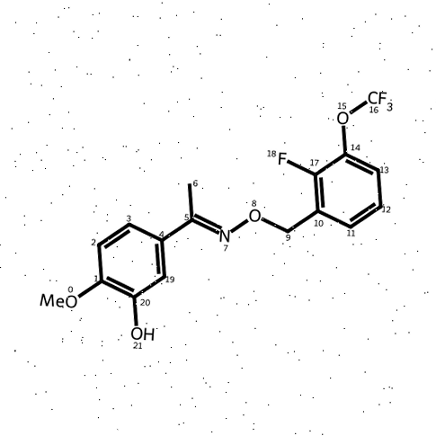 COc1ccc(/C(C)=N/OCc2cccc(OC(F)(F)F)c2F)cc1O